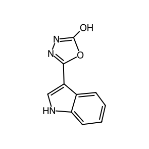 Oc1nnc(-c2c[nH]c3ccccc23)o1